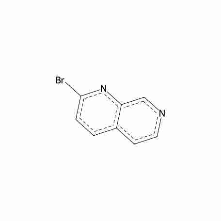 Brc1ccc2ccncc2n1